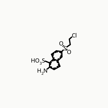 Nc1ccc2cc(S(=O)(=O)CCCl)ccc2c1S(=O)(=O)O